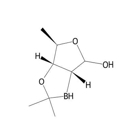 C[C@H]1OC(O)[C@@H]2BC(C)(C)O[C@H]12